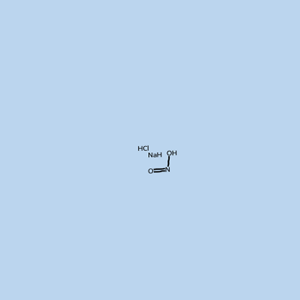 Cl.O=NO.[NaH]